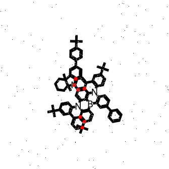 CC(C)(C)c1ccc(-c2ccc3c(c2)C2(C)CCCCC2(C)N3c2cc3c4c(c2)N(c2ccc(C(C)(C)C)cc2-c2ccccc2)c2cc(C(C)(C)C)ccc2B4c2cc(-c4ccccc4)ccc2N3c2ccc(C(C)(C)C)cc2-c2ccccc2)cc1